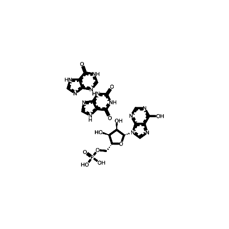 O=P(O)(O)OC[C@H]1O[C@@H](n2cnc3c(O)ncnc32)[C@H](O)[C@@H]1O.O=c1[nH]c(=O)c2[nH]cnc2[nH]1.O=c1[nH]cnc2nc[nH]c12